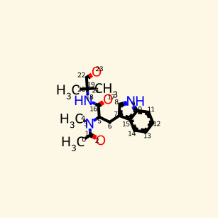 CC(=O)N(C)C(Cc1c[nH]c2ccccc12)C(=O)NC(C)(C)C=O